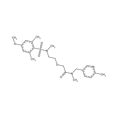 COc1cc(C)c(S(=O)(=O)N(C)CCOCC(=O)N(C)Cc2ccc(C)nc2)c(C)c1